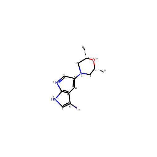 C[C@@H]1CN(c2cnc3[nH]cc(I)c3c2)C[C@H](C)O1